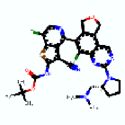 CN(C)C[C@H]1CCCN1c1ncc2c3c(c(-c4ncc(F)c5sc(NC(=O)OC(C)(C)C)c(C#N)c45)c(F)c2n1)COC3